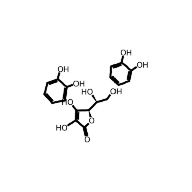 O=C1O[C@H]([C@@H](O)CO)C(O)=C1O.Oc1ccccc1O.Oc1ccccc1O